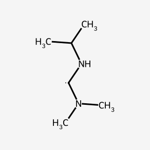 CC(C)N[CH]N(C)C